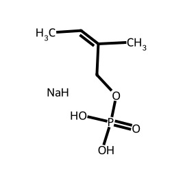 CC=C(C)COP(=O)(O)O.[NaH]